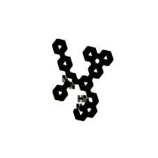 C1=CC(c2cc(-c3ccc4c5ccccc5c5ccccc5c4c3)cc(-c3cc(-c4ccc(-c5ccccc5)cc4)nc(-c4ccccc4)n3)c2)Nc2c1ccc1cccnc21